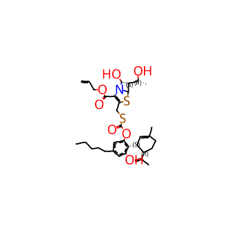 C=CCOC(=O)C1=C(CSC(=O)Oc2cc(CCCCC)cc(O)c2[C@@H]2C=C(C)CC[C@H]2C(=C)C)SC2[C@@H]([C@@H](C)O)C(O)N12